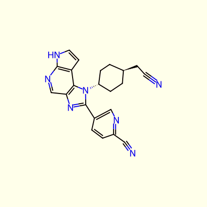 N#CC[C@H]1CC[C@H](n2c(-c3ccc(C#N)nc3)nc3cnc4[nH]ccc4c32)CC1